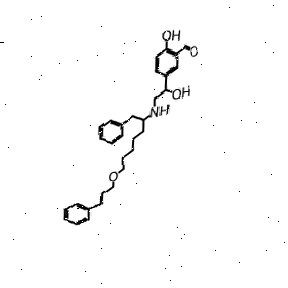 O=Cc1cc(C(O)CNC(CCCCCOCCCc2ccccc2)Cc2ccccc2)ccc1O